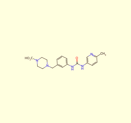 Cc1ccc(NC(=O)Nc2cccc(CN3CCN(C(=O)O)CC3)c2)cn1